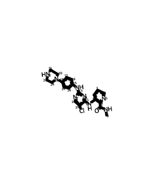 CNC(=O)c1ncccc1Nc1nc(Nc2ccc(N3CCNCC3)cc2)ncc1Cl